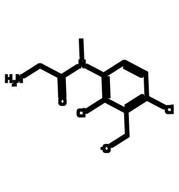 CN(C(=O)CN)c1ccc(Cl)c(C[O])c1Cl